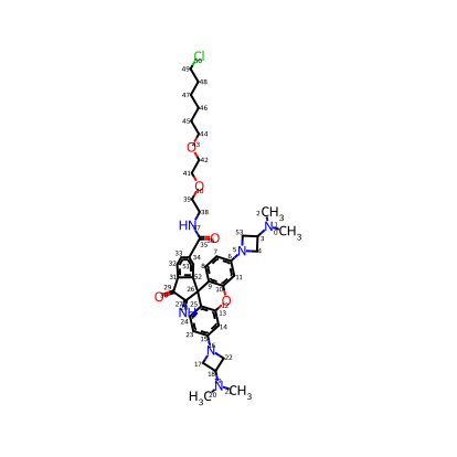 CN(C)C1CN(c2ccc3c(c2)Oc2cc(N4CC(N(C)C)C4)ccc2C32C(=N)C(=O)c3ccc(C(=O)NCCOCCOCCCCCCCl)cc32)C1